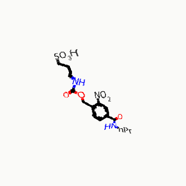 CCCNC(=O)c1ccc(COC(=O)NCCCS(=O)(=O)O)c([N+](=O)[O-])c1